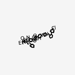 CCN(CC)C[C@H](CSc1ccccc1)Nc1ccc(S(=O)(=O)NC(=O)c2ccc(N3CCN(CC4=C(c5ccc(Cl)cc5)CCCC4)CC3)cc2)cc1[N+](=O)[O-]